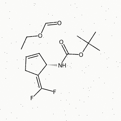 CC(C)(C)OC(=O)N[C@H]1C=CCC1=C(F)F.CCOC=O